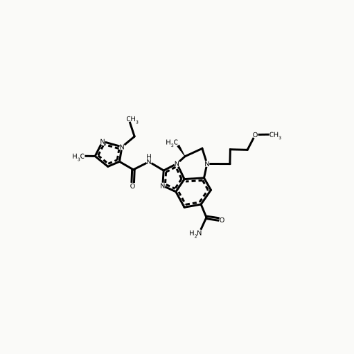 CCn1nc(C)cc1C(=O)Nc1nc2cc(C(N)=O)cc3c2n1[C@@H](C)CN3CCCOC